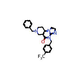 O=c1c2c(n3ccnc3n1Cc1ccc(C(F)(F)F)cc1)CCN(Cc1ccccc1)C2